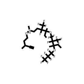 C#CC(C)CCO[SiH](C)CCC(F)(C(F)(F)F)C(C)(CC)OC(F)(F)C(F)(C(F)(F)F)C(C)(CC)OC(F)(F)C(F)(F)C(F)(F)F